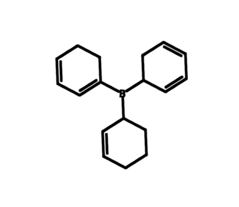 C1=CCCC(B(C2C=CC=CC2)C2C=CCCC2)=C1